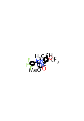 COc1cn(Cc2cc(F)c(F)c(F)c2)c(Nc2c(C)cc(OC(F)(F)F)c(C)c2C)nc1=O